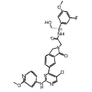 COc1cc(F)cc([C@@H](CO)NC(=O)CN2Cc3ccc(-c4nc(Nc5ccnc(OC)c5)ncc4Cl)cc3C2=O)c1